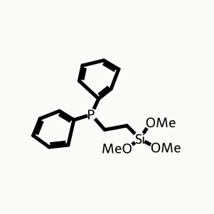 CO[Si](CCP(c1ccccc1)c1ccccc1)(OC)OC